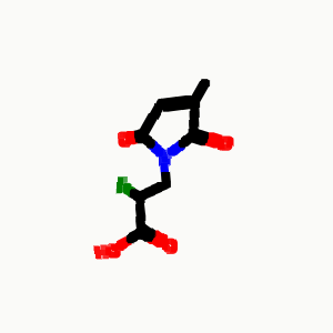 CC1=CC(=O)N(CC(F)C(=O)O)C1=O